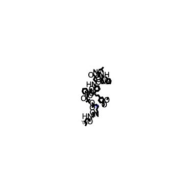 CC[C@H](C)CC(=O)NCC(=O)N(C)CC/C=C\C(=O)OCC(C)(C)C(=O)C(=O)N1CCCC[C@H]1C(=O)O[C@H](CCc1ccc(OC)c(OC)c1)c1cccc(NC(=O)CCC(=O)N(C)[C@@H](CC(C)C)C(=O)N[C@H](Cc2ccccc2)C(=O)NC)c1